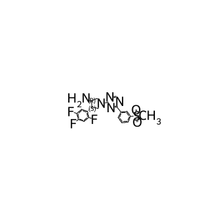 CS(=O)(=O)c1cccc(-c2ncnc(N3C[C@H](c4cc(F)c(F)cc4F)[C@@H](N)C3)n2)c1